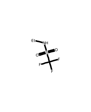 C[CH]NS(=O)(=O)C(F)(F)F